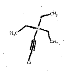 CC[Si](C#CCl)(CC)CC